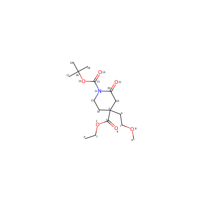 CCOC(=O)C1(CCOC)CCN(C(=O)OC(C)(C)C)C(=O)C1